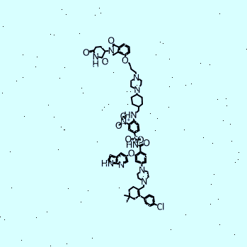 CC1(C)CCC(CN2CCN(c3ccc(C(=O)NS(=O)(=O)c4ccc(NCC5CCC(N6CCN(CCCOc7cccc8c7CN(C7CCC(=O)NC7=O)C8=O)CC6)CC5)c([N+](=O)[O-])c4)c(Oc4cnc5[nH]ccc5c4)c3)CC2)=C(c2ccc(Cl)cc2)C1